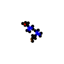 c1ccc([Si](c2ccccc2)(c2ccc(-c3nc(-n4c5ccccc5c5ccccc54)nc(-n4c5ccccc5c5cc(-c6ccc7c(c6)c6ccccc6n7-c6nc(-c7ccc([Si](c8ccccc8)(c8ccccc8)c8cccc9c8sc8ccccc89)cc7)nc(-n7c8ccccc8c8ccccc87)n6)ccc54)n3)cc2)c2ccc3sc4ccccc4c3c2)cc1